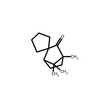 CC12CCC(C3(CCCC3)C1=O)C2(C)C